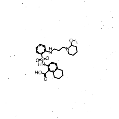 CC1CCCCN1CCCNc1ccccc1S(=O)(=O)Nc1ccc2c(c1C(=O)O)CCCC2